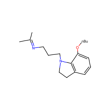 CCCCOc1cccc2c1N(CCCN=C(C)C)CC2